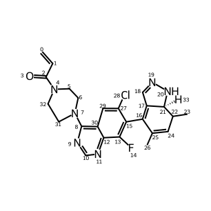 C=CC(=O)N1CCN(c2ncnc3c(F)c(C4=C5C=NN[C@H]5C(C)C=C4C)c(Cl)cc23)CC1